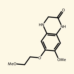 COCCOc1cc2c(cc1OC)NC(=O)CN2